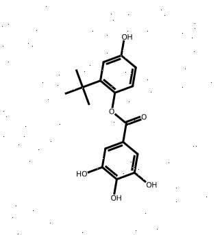 CC(C)(C)c1cc(O)ccc1OC(=O)c1cc(O)c(O)c(O)c1